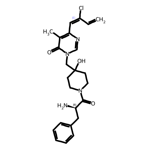 C=C/C(Cl)=C\c1ncn(CC2(O)CCN(C(=O)[C@H](N)Cc3ccccc3)CC2)c(=O)c1C